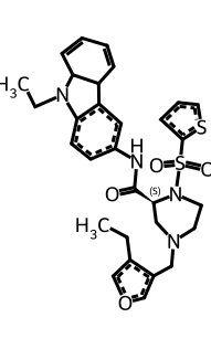 CCc1cocc1CN1CCN(S(=O)(=O)c2cccs2)[C@H](C(=O)Nc2ccc3c(c2)C2C=CC=CC2N3CC)C1